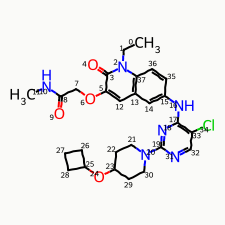 CCn1c(=O)c(OCC(=O)NC)cc2cc(Nc3nc(N4CCC(OC5CCC5)CC4)ncc3Cl)ccc21